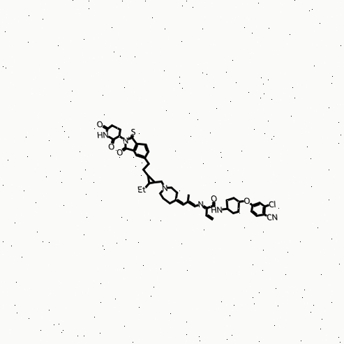 C=C\C(=N/C=C(C)/C=C1/CCCN(CC2C(CC)C2CCc2ccc3c(c2)C(=O)N(C2CCC(=O)NC2=O)C3=S)CC1)C(=O)NC1CCC(Oc2ccc(C#N)c(Cl)c2)CC1